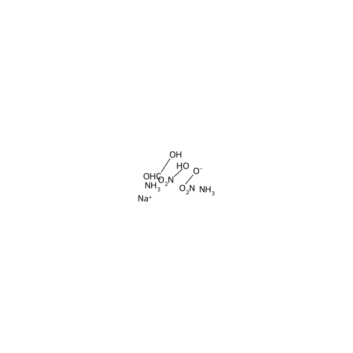 N.N.O=CO.O=[N+]([O-])O.O=[N+]([O-])[O-].[Na+]